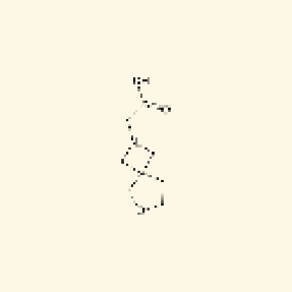 O=C(O)CN1CC2(CCOC2)C1